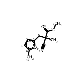 COC(=O)C(C)(C#N)Cc1ccc(C)o1